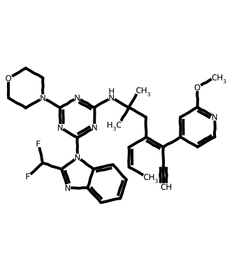 C#C/C(=C(\C=C/C)CC(C)(C)Nc1nc(N2CCOCC2)nc(-n2c(C(F)F)nc3ccccc32)n1)c1ccnc(OC)c1